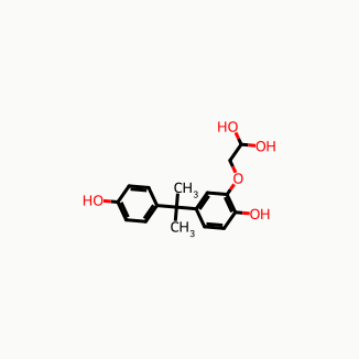 CC(C)(c1ccc(O)cc1)c1ccc(O)c(OCC(O)O)c1